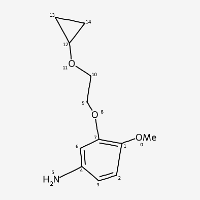 COc1ccc(N)cc1OCCOC1CC1